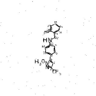 Cn1nc(C(F)(F)F)cc1-c1ccc(NCc2ccccc2F)cc1